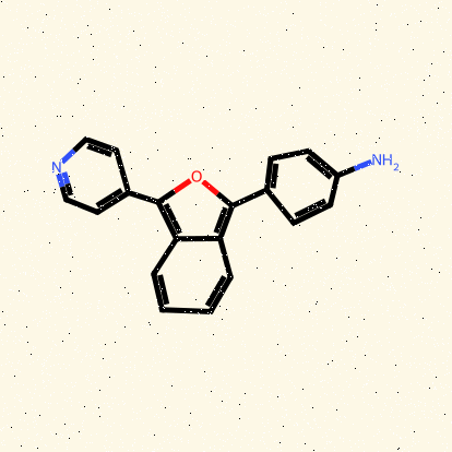 Nc1ccc(-c2oc(-c3ccncc3)c3ccccc23)cc1